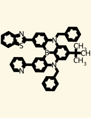 CC(C)(C)c1cc2c3c(c1)N(Cc1ccccc1)c1ccc(-c4nc5ccccc5s4)cc1B3c1cc(-c3ccccn3)ccc1N2Cc1ccccc1